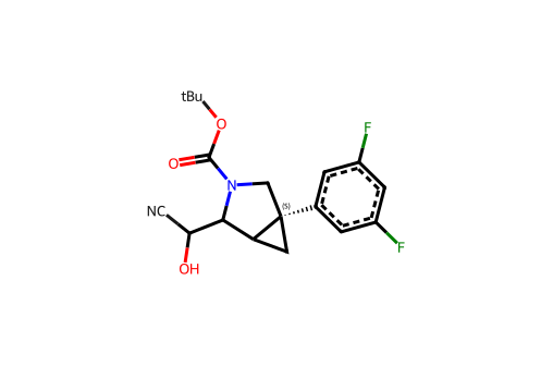 CC(C)(C)OC(=O)N1C[C@@]2(c3cc(F)cc(F)c3)CC2C1C(O)C#N